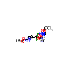 CC(C)[C@H](OC(=O)C(/C=C/c1ccc2ccc(CCNC(=O)OC(C)(C)C)nc2c1)(CF)CF)C(=O)N[C@@H](C)C(=O)N1CCC[C@@H](C(=O)OCC(Cl)(Cl)Cl)N1